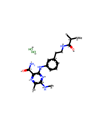 CCc1nc(C(N)=O)c(Nc2cccc(CCNC(=O)C(C)NC)c2)nc1NC(C)C.Cl.Cl